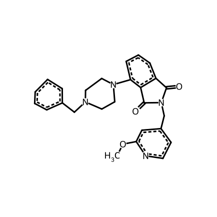 COc1cc(CN2C(=O)c3cccc(N4CCN(Cc5ccccc5)CC4)c3C2=O)ccn1